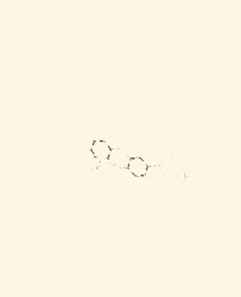 CC(C(=O)O)c1ccc2c(c1)Cc1ccc[n+]([O-])c1O2